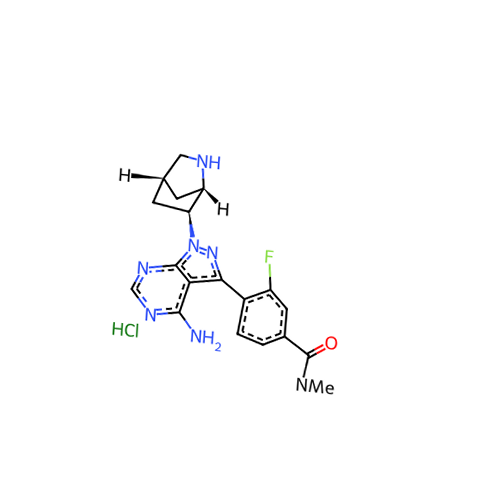 CNC(=O)c1ccc(-c2nn([C@H]3C[C@@H]4CN[C@H]3C4)c3ncnc(N)c23)c(F)c1.Cl